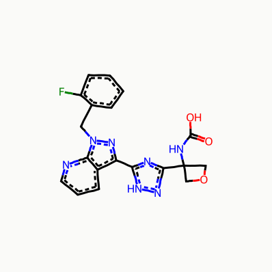 O=C(O)NC1(c2n[nH]c(-c3nn(Cc4ccccc4F)c4ncccc34)n2)COC1